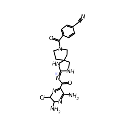 N#Cc1ccc(C(=O)N2CCC3(CC2)CN/C(=N\C(=O)C2=NC(Cl)C(N)N=C2N)N3)cc1